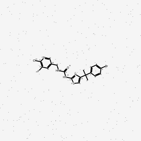 CC(C)(c1ccc(Br)cc1)c1csc(NC(=O)NCc2cnc(Cl)c(F)c2)n1